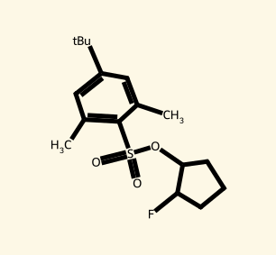 Cc1cc(C(C)(C)C)cc(C)c1S(=O)(=O)OC1CCCC1F